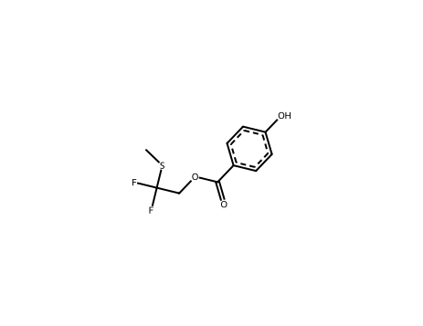 CSC(F)(F)COC(=O)c1ccc(O)cc1